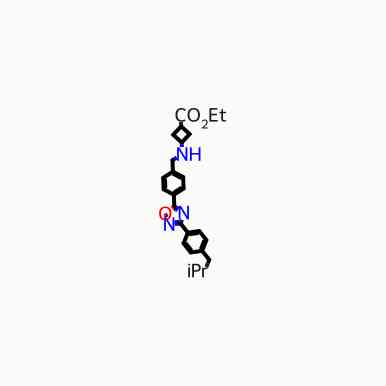 CCOC(=O)C1CC(NCc2ccc(-c3nc(-c4ccc(CC(C)C)cc4)no3)cc2)C1